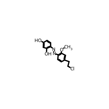 COc1cc(CCCl)ccc1N=Nc1ccc(O)cc1O